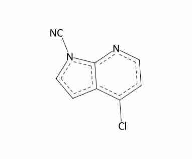 N#Cn1ccc2c(Cl)ccnc21